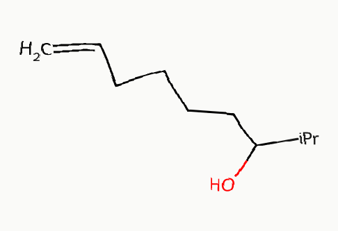 C=CCCCCC(O)C(C)C